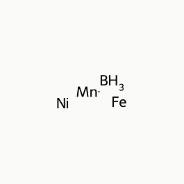 B.[Fe].[Mn].[Ni]